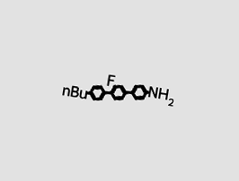 CCCCc1ccc(-c2ccc(-c3ccc(N)cc3)cc2F)cc1